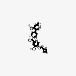 COc1cc(C(=O)N2CCC(c3cnc(C)cc3OC)CC2)ncc1OCC1CCC1